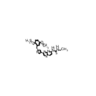 CCNC(=S)Nc1ccc2ncc(-c3cnn(Cc4cc(OC)ccc4OC)c3)nc2n1